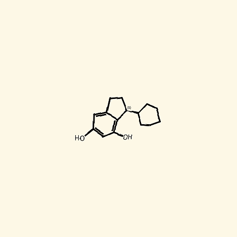 Oc1cc(O)c2c(c1)CC[C@H]2C1CCCCC1